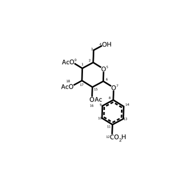 CC(=O)OC1C(CO)OC(Oc2ccc(C(=O)O)cc2)C(OC(C)=O)C1OC(C)=O